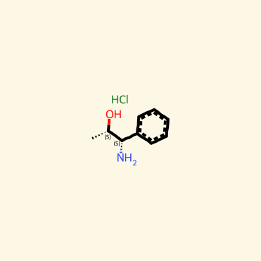 C[C@H](O)[C@@H](N)c1ccccc1.Cl